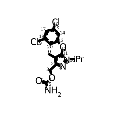 Cc1c(COC(N)=O)nn(C(C)C)c1Oc1cc(Cl)cc(Cl)c1